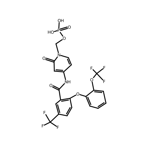 O=C(Nc1ccn(COP(=O)(O)O)c(=O)c1)c1cc(C(F)(F)F)ccc1Oc1ccccc1OC(F)(F)F